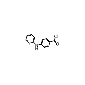 O=C(Cl)c1ccc(Nc2ccccn2)cc1